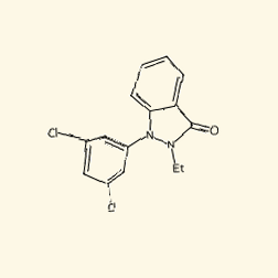 CCn1c(=O)c2ccccc2n1-c1cc(Cl)cc(Cl)c1